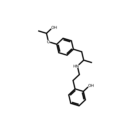 CC(Cc1ccc(OC(C)O)cc1)NCCc1ccccc1O